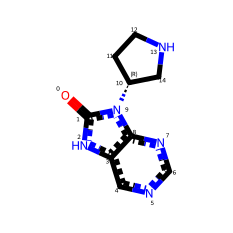 O=c1[nH]c2cncnc2n1[C@@H]1CCNC1